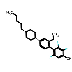 CCCCC[C@H]1CC[C@H](c2ccc(-c3c(F)cc(C)c(F)c3F)c(CC)c2)CC1